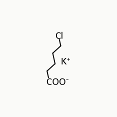 O=C([O-])CCCCCl.[K+]